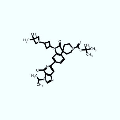 CC(C)n1cnc2cc(-c3ccc4c(c3)N(C3CC(N5CC(C)(C)C5)C3)C(=O)C43CCN(C(=O)OC(C)(C)C)CC3)nc(Cl)c21